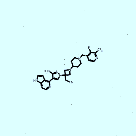 N#CCC1(n2cc(-c3ncnc4[nH]ccc34)c(N)n2)CN(C2CCN(Cc3ccnc(C(F)(F)F)c3F)CC2)C1